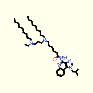 CCCCCCCCCN(CC)CCCN(CCCCCCCCC)CCCCCC(=O)Nc1nc2ccccc2c2c1ncn2CC(C)C